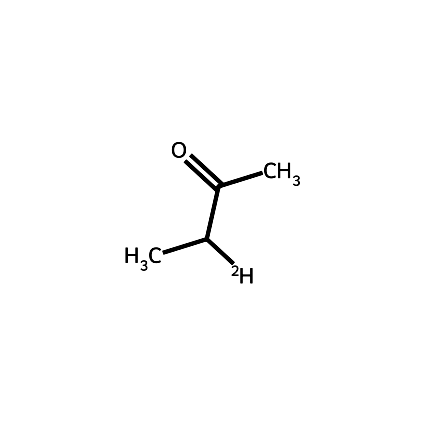 [2H]C(C)C(C)=O